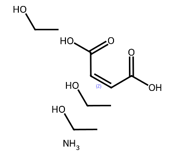 CCO.CCO.CCO.N.O=C(O)/C=C\C(=O)O